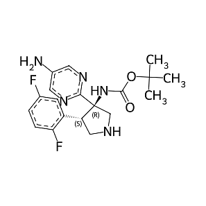 CC(C)(C)OC(=O)N[C@@]1(c2ncc(N)cn2)CNC[C@@H]1c1cc(F)ccc1F